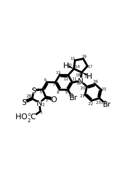 O=C(O)CN1C(=O)/C(=C\c2cc(Br)c3c(c2)[C@@H]2CCC[C@@H]2N3c2ccc(Br)cc2)SC1=S